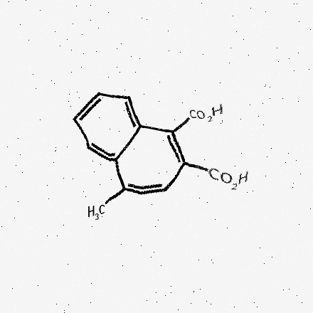 Cc1cc(C(=O)O)c(C(=O)O)c2ccccc12